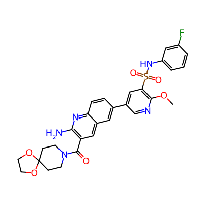 COc1ncc(-c2ccc3nc(N)c(C(=O)N4CCC5(CC4)OCCO5)cc3c2)cc1S(=O)(=O)Nc1cccc(F)c1